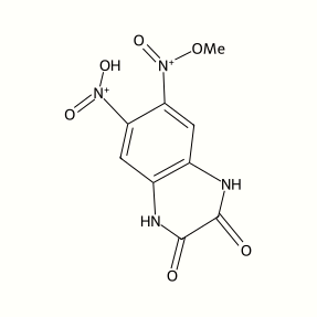 CO[N+](=O)c1cc2[nH]c(=O)c(=O)[nH]c2cc1[N+](=O)O